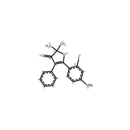 CSc1ccc(C2=C(c3ccccc3)C(=O)C(C)(C)O2)c(F)c1